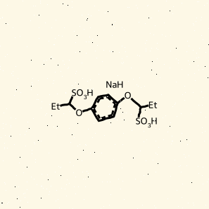 CCC(Oc1ccc(OC(CC)S(=O)(=O)O)cc1)S(=O)(=O)O.[NaH]